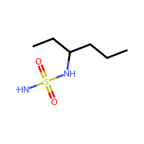 CCCC(CC)NS([NH])(=O)=O